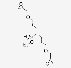 CCO[SiH2]C(CCCOCC1CO1)CCCOCC1CO1